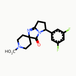 O=C(O)N1CCC2(CC1)N=C1CCC(c3cc(F)cc(F)c3)N1C2=O